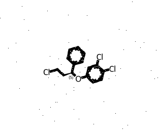 ClCC[C@H](Oc1ccc(Cl)c(Cl)c1)c1ccccc1